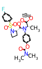 C[C@@H](C(=O)OC(C)(C)C)N(C(=O)[C@@H]1CCCN1S(=O)(=O)c1ccc(F)cc1)c1ccc(OC(=O)N(C)C)cc1